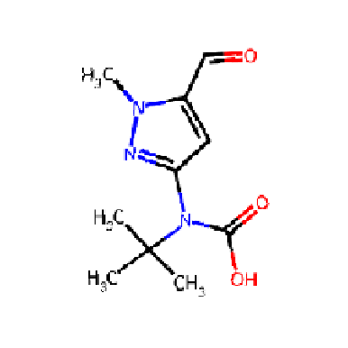 Cn1nc(N(C(=O)O)C(C)(C)C)cc1C=O